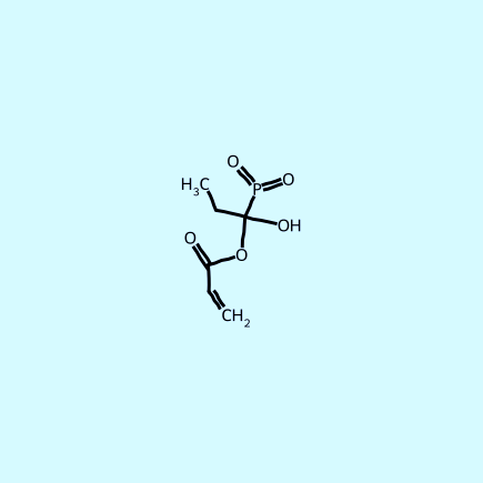 C=CC(=O)OC(O)(CC)P(=O)=O